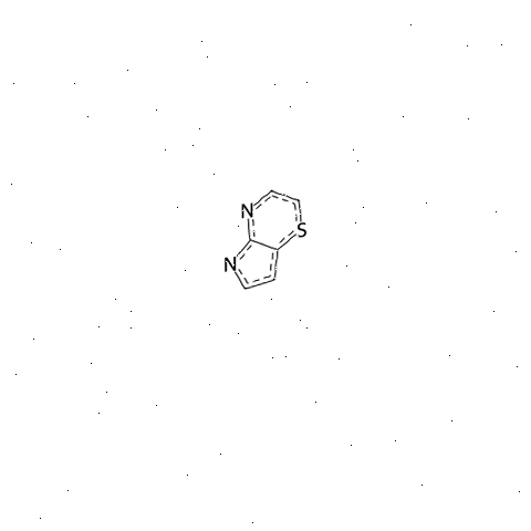 c1csc2ccnc-2n1